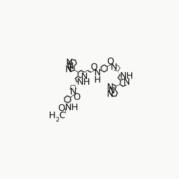 C=CC(=O)Nc1cccc(C(=O)N2CC[C@H](c3cc4c(-c5cnn6ncccc56)cc(/C=C/C(=O)Nc5ccc(C(=O)N6CC[C@H](c7cc8c(-c9cnn%10ncccc9%10)ccnc8[nH]7)C6)cc5)nc4[nH]3)C2)c1